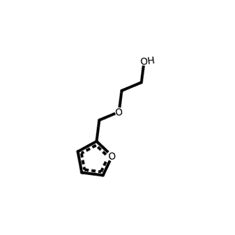 OCCOCc1ccco1